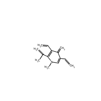 C=CC1=CN(C)C(C(=C)C)=C(C=C)C1=C